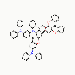 c1ccc(-c2ccccc2N2c3cc(N(c4ccccc4)c4ccccc4)ccc3B3c4ccc(N(c5ccccc5)c5ccccc5)cc4Oc4cc(-c5cc6c7c(c5)Oc5ccccc5B7c5ccccc5O6)cc2c43)cc1